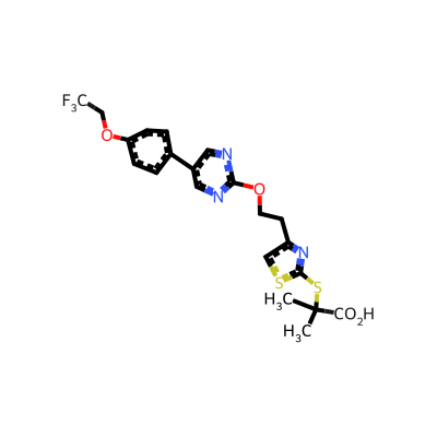 CC(C)(Sc1nc(CCOc2ncc(-c3ccc(OCC(F)(F)F)cc3)cn2)cs1)C(=O)O